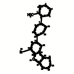 Cc1ncccc1-c1ccc(-c2cc(Br)c3oc4ccccc4c3c2)cc1